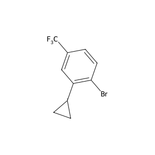 FC(F)(F)c1ccc(Br)c([C]2CC2)c1